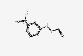 O=[C]COc1cccc([N+](=O)[O-])c1